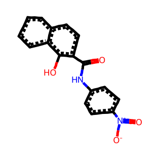 O=C(Nc1ccc([N+](=O)[O-])cc1)c1ccc2ccccc2c1O